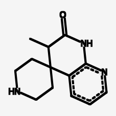 CC1C(=O)Nc2ncccc2C12CCNCC2